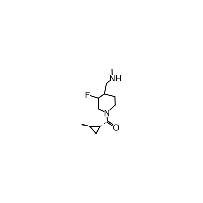 CNCC1CCN(C(=O)[C@@H]2C[C@H]2C)CC1F